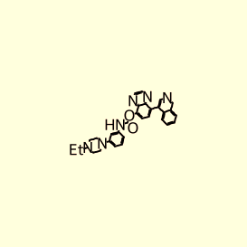 CCN1CCN(c2cccc(NC(=O)Oc3ccc(-c4cncc5ccccc45)c4nccnc34)c2)CC1